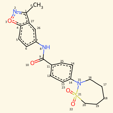 Cc1noc2ccc(NC(=O)c3ccc(N4CCCCCS4(=O)=O)cc3)cc12